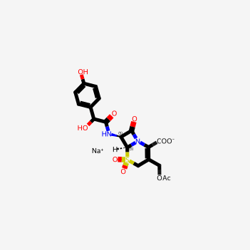 CC(=O)OCC1=C(C(=O)[O-])N2C(=O)[C@H](NC(=O)C(O)c3ccc(O)cc3)[C@@H]2S(=O)(=O)C1.[Na+]